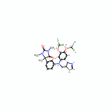 CN1C(=O)N(C)C(C)(c2cccc(N(CC3CN=CS3)c3ccc(OC(F)F)c(OC(F)F)c3)c2)C1=O